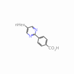 CCCCCCc1cnc(-c2ccc(C(=O)O)cc2)nc1